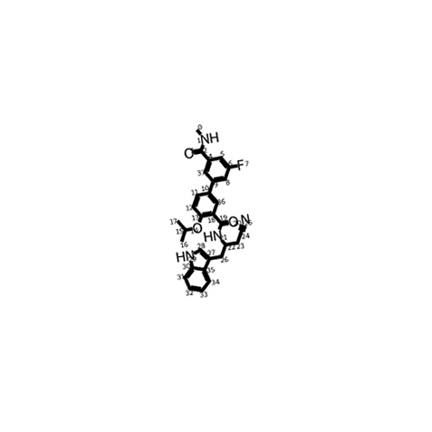 CNC(=O)c1cc(F)cc(-c2ccc(OC(C)C)c(C(=O)NC(CC#N)Cc3c[nH]c4ccccc34)c2)c1